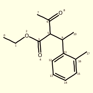 CCOC(=O)C(C(C)=O)C(C)c1ccccc1C